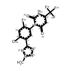 Cn1nnc(-c2cc(-n3c(=O)cc(C(F)(F)F)[nH]c3=O)c(F)cc2Cl)n1